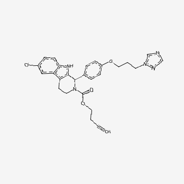 C#CCCOC(=O)N1CCc2c([nH]c3ccc(Cl)cc23)C1c1ccc(OCCCn2cncn2)cc1